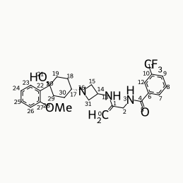 C=C(CNC(=O)c1cccc(C(F)(F)F)c1)NC1CN([C@H]2CC[C@@](O)(c3ccccc3OC)CC2)C1